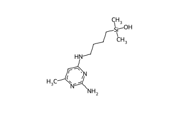 Cc1cc(NCCCC[Si](C)(C)O)nc(N)n1